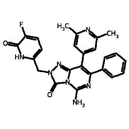 Cc1cc(-c2c(-c3ccccc3)nc(N)n3c(=O)n(Cc4ccc(F)c(=O)[nH]4)nc23)cc(C)n1